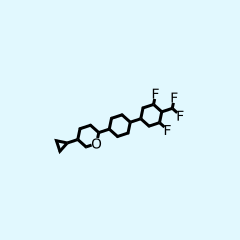 FC(F)C1C(F)CC(C2CCC(C3CCC(C4CC4)CO3)CC2)CC1F